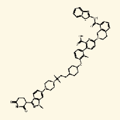 Cc1c(OC2CCC(CCC(C)(C)N3CCN(c4ccc5c(C6CCC(=O)NC6=O)nn(C)c5c4)CC3)CC2)cccc1-c1ccc(N2CCc3cccc(C(=O)Nc4nc5ccccc5s4)c3C2)nc1C(=O)O